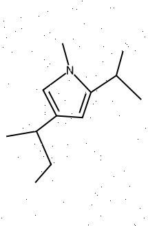 CCC(C)c1cc(C(C)C)n(C)c1